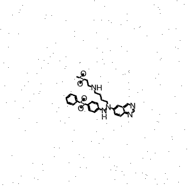 CS(=O)(=O)CCNCCCCN(Nc1ccc(S(=O)(=O)c2ccccc2)cc1)c1ccc2ncncc2c1